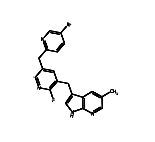 Cc1cnc2[nH]cc(Cc3cc(Cc4ccc(Br)cn4)[c]nc3F)c2c1